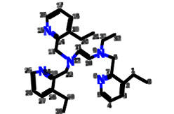 CCc1cccnc1CN(C=CN(Cc1ncccc1CC)Cc1ncccc1CC)CC